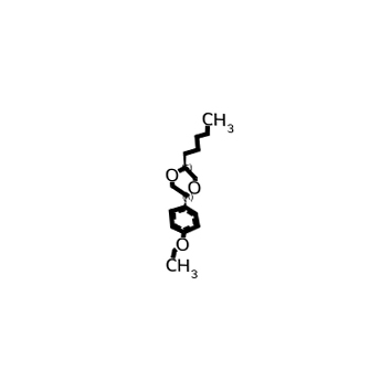 CCCCC[C@H]1CO[C@H](c2ccc(OCC)cc2)CO1